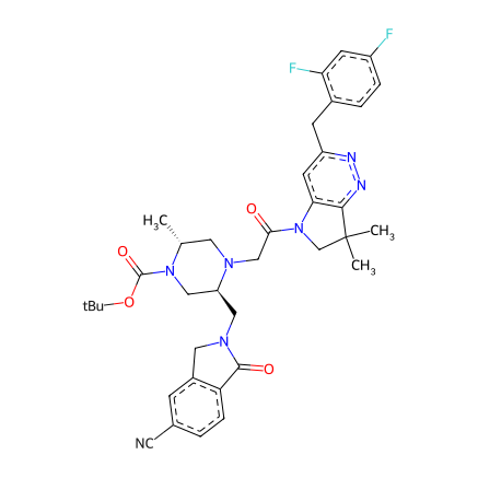 C[C@@H]1CN(CC(=O)N2CC(C)(C)c3nnc(Cc4ccc(F)cc4F)cc32)[C@@H](CN2Cc3cc(C#N)ccc3C2=O)CN1C(=O)OC(C)(C)C